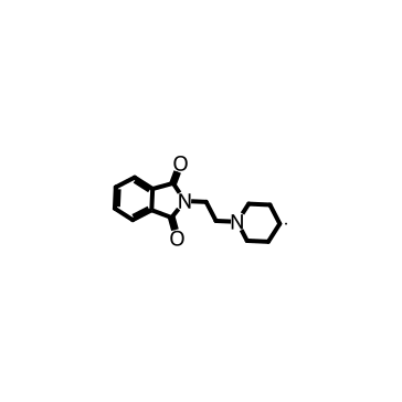 O=C1c2ccccc2C(=O)N1CCN1CC[CH]CC1